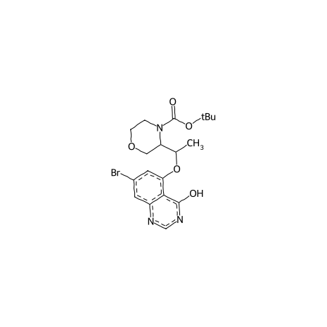 CC(Oc1cc(Br)cc2ncnc(O)c12)C1COCCN1C(=O)OC(C)(C)C